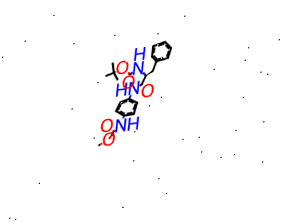 COC(=O)Nc1ccc(NC(=O)[C@H](Cc2ccccc2)NC(=O)OC(C)(C)C)cc1